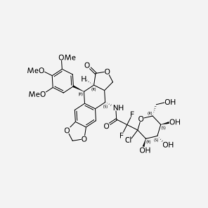 COc1cc([C@@H]2c3cc4c(cc3[C@@H](NC(=O)C(F)(F)C3(Cl)O[C@H](CO)[C@@H](O)[C@H](O)[C@H]3O)C3COC(=O)[C@@H]32)OCO4)cc(OC)c1OC